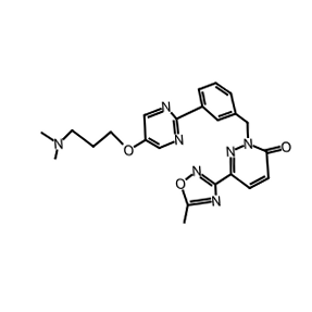 Cc1nc(-c2ccc(=O)n(Cc3cccc(-c4ncc(OCCCN(C)C)cn4)c3)n2)no1